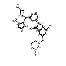 C[C@H]1CCCN(Cc2cc(C(F)(F)F)c3cn(-c4cccc([C@@H](c5nncn5C)[C@H]5C[C@H](O)C5)c4)c(=O)n3c2)C1